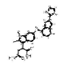 Cc1c(C(CC(N)=O)C(=O)O)c2ccc(Oc3ccnc4cc(-c5nccs5)sc34)cc2n1C